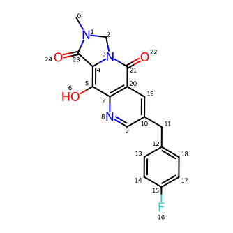 CN1Cn2c(c(O)c3ncc(Cc4ccc(F)cc4)cc3c2=O)C1=O